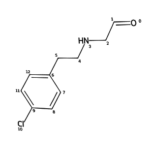 O=CCNCCc1ccc(Cl)cc1